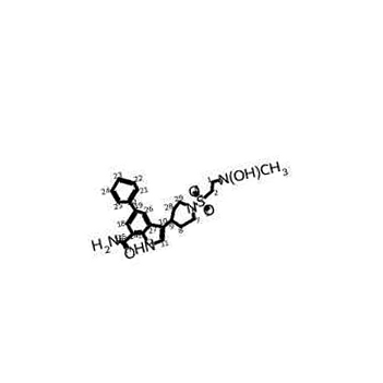 CN(O)CCS(=O)(=O)N1CCC(c2c[nH]c3c(C(N)=O)cc(-c4ccccc4)cc23)CC1